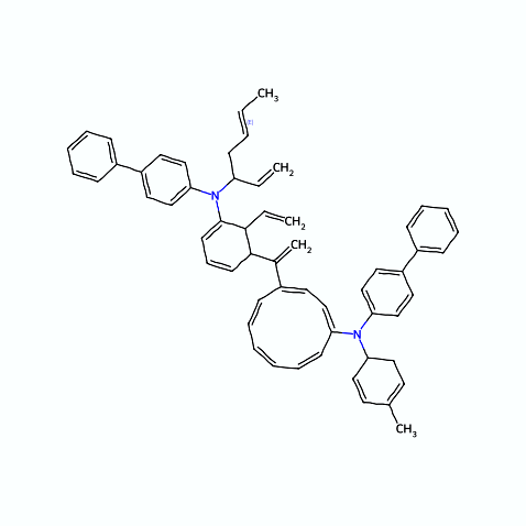 C=CC1C(N(c2ccc(-c3ccccc3)cc2)C(C=C)C/C=C/C)=CC=CC1C(=C)c1ccccccc(N(c2ccc(-c3ccccc3)cc2)C2C=CC(C)=CC2)cc1